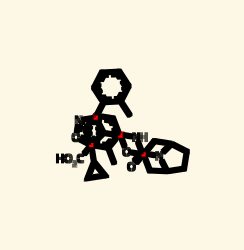 Cc1ccccc1-c1noc(C2CC2)c1COC1CC2CCC(C1)N2C(=O)Nc1cccc(C(=O)O)c1C